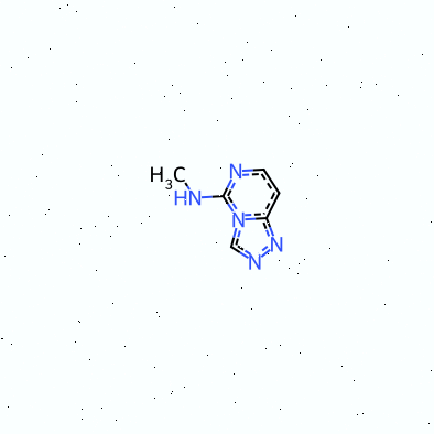 CNc1nccc2nncn12